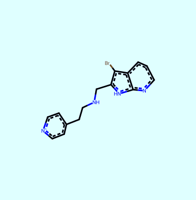 Brc1c(CNCCc2ccncc2)[nH]c2ncccc12